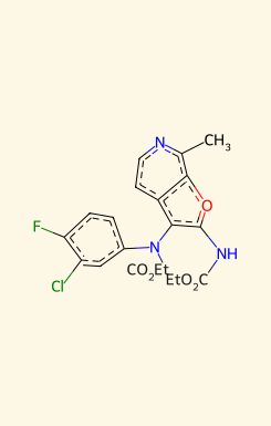 CCOC(=O)Nc1oc2c(C)nccc2c1N(C(=O)OCC)c1ccc(F)c(Cl)c1